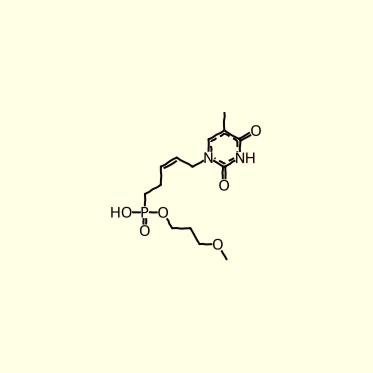 COCCCOP(=O)(O)CC/C=C\Cn1cc(C)c(=O)[nH]c1=O